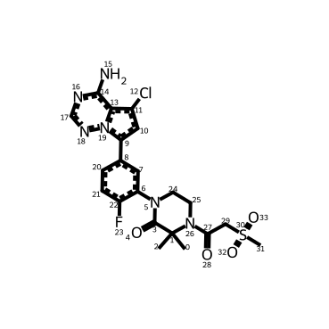 CC1(C)C(=O)N(c2cc(-c3cc(Cl)c4c(N)ncnn34)ccc2F)CCN1C(=O)CS(C)(=O)=O